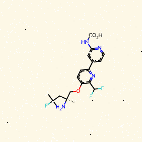 CC(C)(F)C[C@](C)(N)COc1ccc(-c2ccnc(NC(=O)O)c2)nc1C(F)F